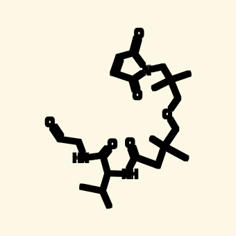 CC(C)C(NC(=O)CC(C)(C)COCC(C)(C)CN1C(=O)C=CC1=O)C(=O)NCC=O